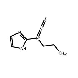 [CH2]CC[N+](=C=S)c1ncc[nH]1